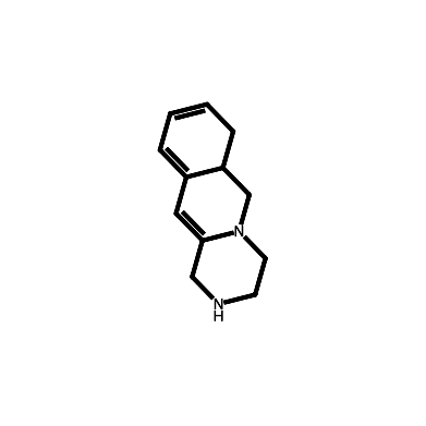 C1=CCC2CN3CCNCC3=CC2=C1